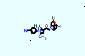 Cc1cc(C(=O)CN2C3C[C@H]4CC2C[C@H](C3)O4)c(C)n1-c1ccc(C#N)cc1